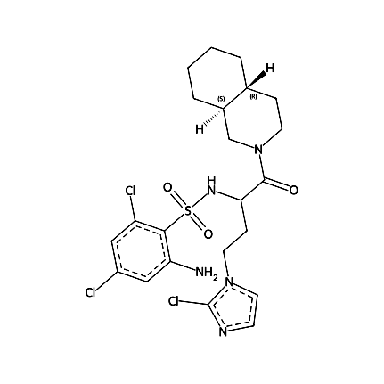 Nc1cc(Cl)cc(Cl)c1S(=O)(=O)NC(CCn1ccnc1Cl)C(=O)N1CC[C@H]2CCCC[C@@H]2C1